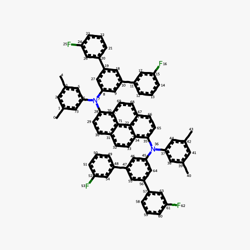 Cc1cc(C)cc(N(c2cc(-c3cccc(F)c3)cc(-c3cccc(F)c3)c2)c2ccc3ccc4c(N(c5cc(C)cc(C)c5)c5cc(-c6cccc(F)c6)cc(-c6cccc(F)c6)c5)ccc5ccc2c3c54)c1